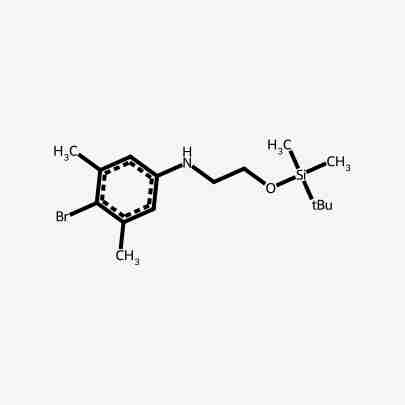 Cc1cc(NCCO[Si](C)(C)C(C)(C)C)cc(C)c1Br